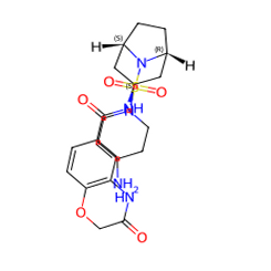 NC1CCN(S(=O)(=O)N2[C@@H]3CC[C@H]2C[C@H](NC(=O)c2ccc4c(c2)NC(=O)CO4)C3)CC1